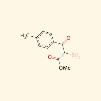 BC(C(=O)OC)C(=O)c1ccc(C)cc1